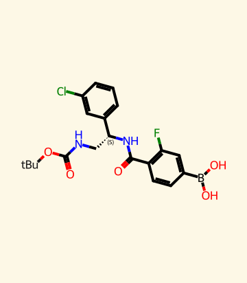 CC(C)(C)OC(=O)NC[C@@H](NC(=O)c1ccc(B(O)O)cc1F)c1cccc(Cl)c1